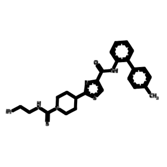 Cc1ccc(-c2ccccc2NC(=O)c2csc(C3CCN(C(=S)NCCC(C)C)CC3)n2)cc1